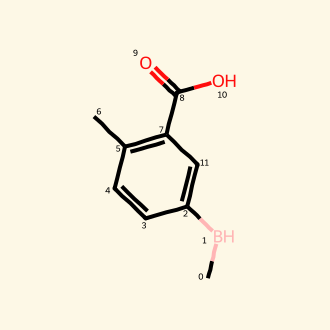 CBc1ccc(C)c(C(=O)O)c1